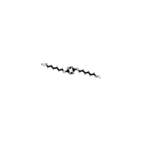 NCCCCCCOc1nnc(OCCCCCCN)nn1